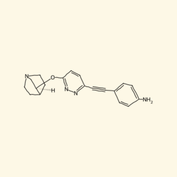 Nc1ccc(C#Cc2ccc(O[C@@H]3CN4CCC3CC4)nn2)cc1